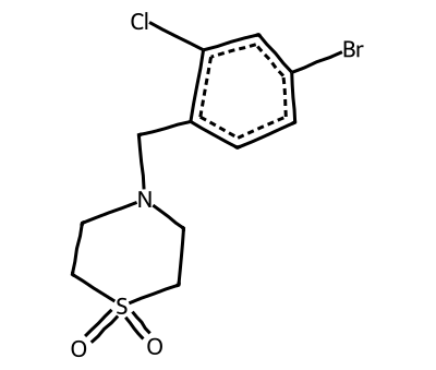 O=S1(=O)CCN(Cc2ccc(Br)cc2Cl)CC1